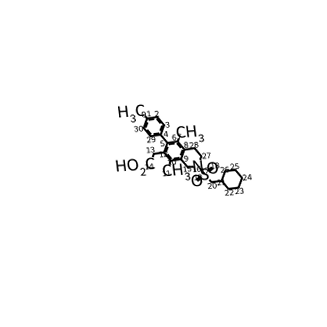 Cc1ccc(-c2c(C)c3c(c(C)c2CC(=O)O)CN(S(=O)(=O)CC2CCCCC2)CC3)cc1